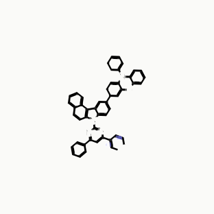 C/C=C\C(=C/C)c1cc(-c2ccccc2)nc(-n2c3ccc(C4C=C5Oc6ccccc6N(C6=CC=CCC6)C5=CC4)cc3c3c4ccccc4ccc32)n1